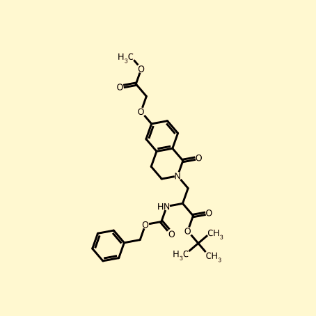 COC(=O)COc1ccc2c(c1)CCN(CC(NC(=O)OCc1ccccc1)C(=O)OC(C)(C)C)C2=O